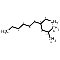 [CH2]CCCCCC(C[CH2])CC(C)C